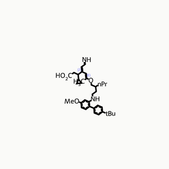 CCCC(CCNc1cc(OC)ccc1-c1ccc(C(C)(C)C)cc1)CO/C(C)=C/C(=C\C=N)C(CC(=O)O)C1CC1